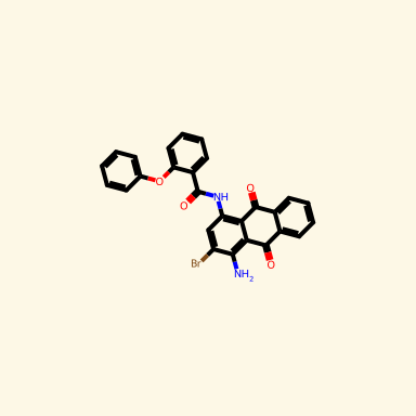 Nc1c(Br)cc(NC(=O)c2ccccc2Oc2ccccc2)c2c1C(=O)c1ccccc1C2=O